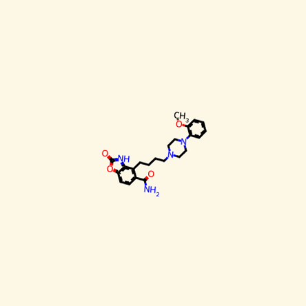 COc1ccccc1N1CCN(CCCCc2c(C(N)=O)ccc3oc(=O)[nH]c23)CC1